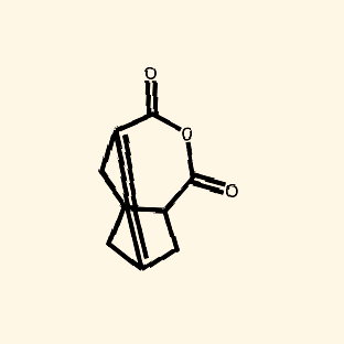 O=C1OC(=O)C2CC3=C1CC2C3